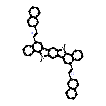 Cn1c2cc3c4cc(/C=C/c5ccc6ccccc6c5)c5ccccc5c4n(C)c3cc2c2cc(/C=C/c3ccc4ccccc4c3)c3ccccc3c21